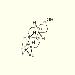 CC(=O)[C@@]12CC1C[C@H]1[C@@H]3CC[C@@H]4C[C@H](O)CC[C@@H]4[C@H]3CC[C@@]12C